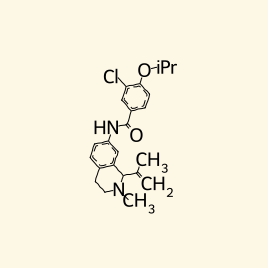 C=C(C)C1c2cc(NC(=O)c3ccc(OC(C)C)c(Cl)c3)ccc2CCN1C